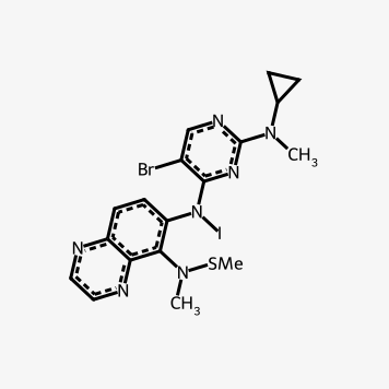 CSN(C)c1c(N(I)c2nc(N(C)C3CC3)ncc2Br)ccc2nccnc12